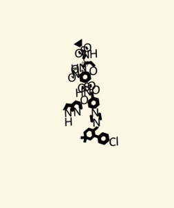 CC1(C)CCC(CN2CCN(c3ccc(C(=O)NS(=O)(=O)c4cc5c(c([N+](=O)[O-])c4)N[C@H](CNS(=O)(=O)C4CC4)CCO5)c(Oc4cnc5[nH]ccc5c4)c3)CC2)=C(c2ccc(Cl)cc2)C1